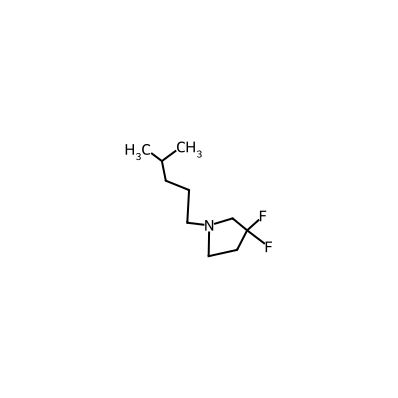 CC(C)CCCN1CCC(F)(F)C1